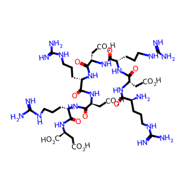 N=C(N)NCCC[C@H](NC(=O)[C@H](CC(=O)O)NC(=O)[C@H](CCCNC(=N)N)NC(=O)[C@H](CC(=O)O)NC(=O)[C@H](CCCNC(=N)N)NC(=O)[C@H](CC(=O)O)NC(=O)[C@@H](N)CCCNC(=N)N)C(=O)N[C@@H](CC(=O)O)C(=O)O